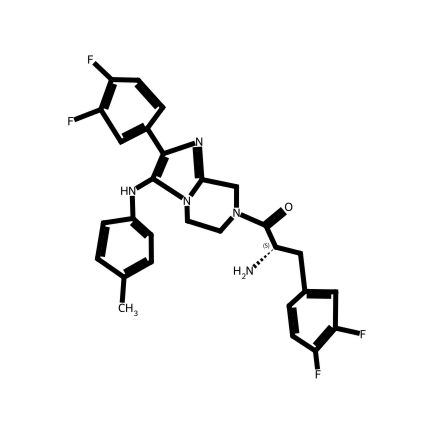 Cc1ccc(Nc2c(-c3ccc(F)c(F)c3)nc3n2CCN(C(=O)[C@@H](N)Cc2ccc(F)c(F)c2)C3)cc1